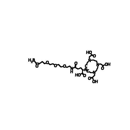 BC1OC1CCOCCOCCOCCNC(=O)CCC(C(=O)O)N1CCN(CC(=O)O)CCN(CC(=O)O)CCN(CC(=O)O)CC1